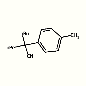 CCCCC(C#N)(CCC)c1ccc(C)cc1